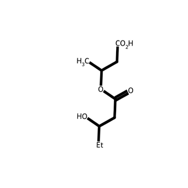 CCC(O)CC(=O)OC(C)CC(=O)O